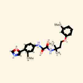 COc1cccc(OCCC(C)(C)NC(=O)C(=O)Nc2ccc(-c3cnco3)c(OC)c2)c1